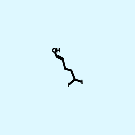 OC=CCCC(I)I